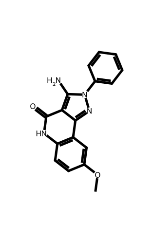 COc1ccc2[nH]c(=O)c3c(N)n(-c4ccccc4)nc3c2c1